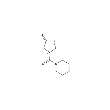 O=C1C[C@@H](C(=O)N2C[CH]CCC2)CO1